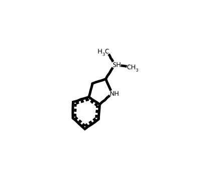 C[SH](C)C1Cc2ccccc2N1